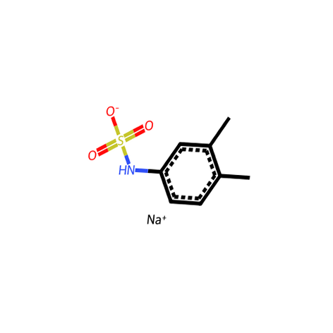 Cc1ccc(NS(=O)(=O)[O-])cc1C.[Na+]